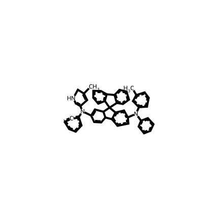 CC1=CC(N(C2=CC3C(C=C2)c2ccc(N(c4ccccc4)c4cccc(C)c4)cc2C32c3ccccc3-c3ccccc32)c2ccccc2)=CNC1